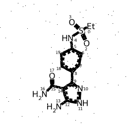 CCS(=O)(=O)Nc1ccc(-c2n[nH]c(N)c2C(N)=O)cc1